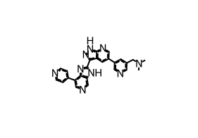 CN(C)Cc1cncc(-c2cnc3[nH]nc(-c4nc5c(-c6ccncc6)cncc5[nH]4)c3c2)c1